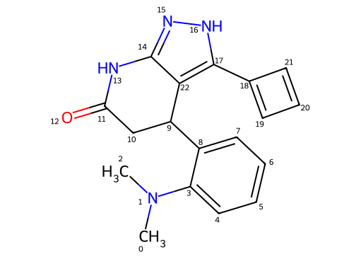 CN(C)c1ccccc1C1CC(=O)Nc2n[nH]c(C3=CC=C3)c21